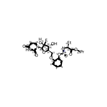 CC[C@H](/N=[P+](\[O-])Oc1ccccc1OC[C@H]1O[C@@H](n2ccc(=O)[nH]c2=O)[C@](C)(F)[C@@H]1O)C(=O)OC(C)C